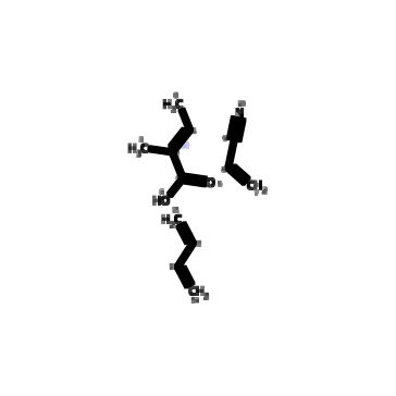 C/C=C(\C)C(=O)O.C=CC#N.C=CC=C